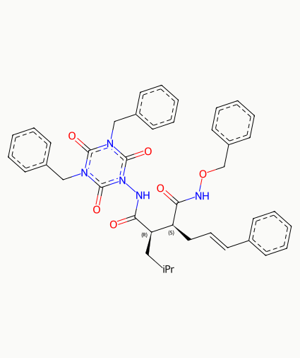 CC(C)C[C@@H](C(=O)Nn1c(=O)n(Cc2ccccc2)c(=O)n(Cc2ccccc2)c1=O)[C@H](CC=Cc1ccccc1)C(=O)NOCc1ccccc1